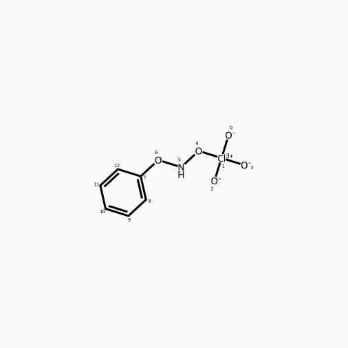 [O-][Cl+3]([O-])([O-])ONOc1ccccc1